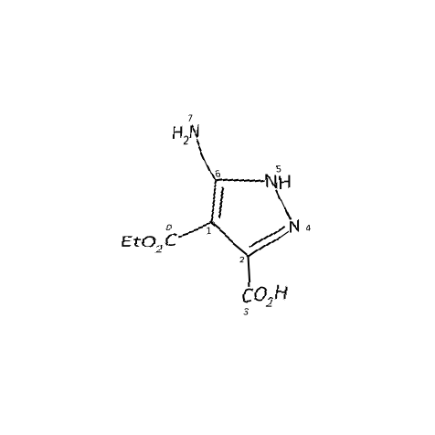 CCOC(=O)c1c(C(=O)O)n[nH]c1N